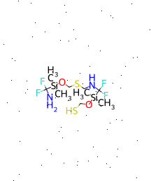 C[Si](C)(OCSCNC(F)(F)[Si](C)(C)OCS)C(N)(F)F